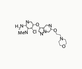 CNc1c(N)ncc(Oc2cnn3cc(OCCN4CCOCC4)ncc23)c1Cl